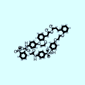 CC(=O)Nc1ccc(S(=O)(=O)Nc2ccc(OCCOc3ccccc3CCC(=O)OC(=O)Cc3ccccc3OCCOc3ccc(NS(=O)(=O)c4ccccc4[N+](=O)[O-])cc3)cc2)cc1